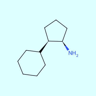 N[C@@H]1CCC[C@@H]1C1CCCCC1